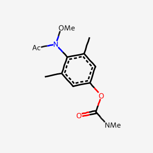 CNC(=O)Oc1cc(C)c(N(OC)C(C)=O)c(C)c1